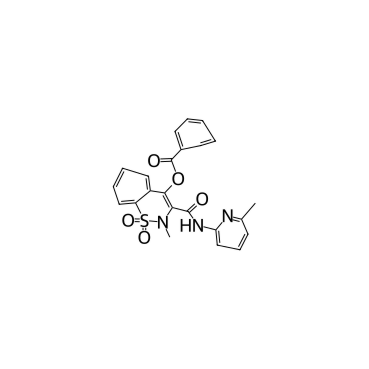 Cc1cccc(NC(=O)C2=C(OC(=O)c3ccccc3)c3ccccc3S(=O)(=O)N2C)n1